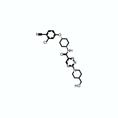 N#Cc1ccc(O[C@H]2CC[C@H](NC(=O)c3cnc(N4CCC(CO)CC4)nn3)CC2)cc1Cl